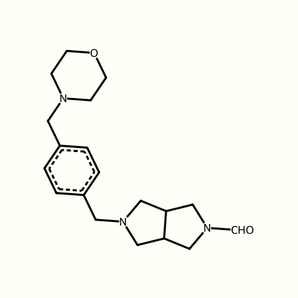 O=CN1CC2CN(Cc3ccc(CN4CCOCC4)cc3)CC2C1